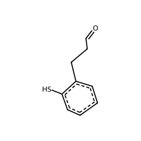 O=CCCc1ccccc1S